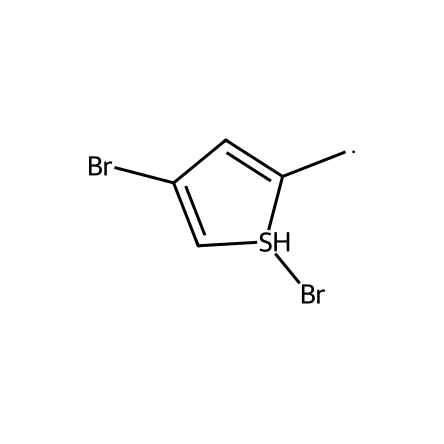 [CH2]C1=CC(Br)=C[SH]1Br